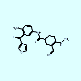 CNC1=C(C=N)CC(C(=O)Nc2ccc(N)c(C(=N)c3ccoc3)c2)CC1